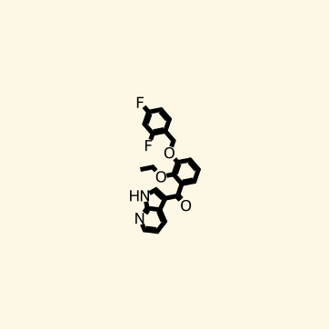 CCOc1c(OCc2ccc(F)cc2F)cccc1C(=O)c1c[nH]c2ncccc12